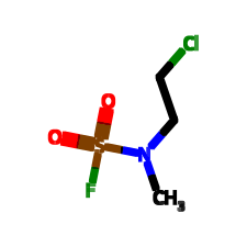 CN(CCCl)S(=O)(=O)F